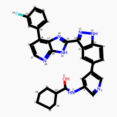 OC(Nc1cncc(-c2ccc3[nH]nc(-c4nc5c(-c6cccc(F)c6)ccnc5[nH]4)c3c2)c1)C1CCCCC1